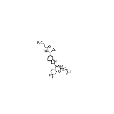 O=C(CCC(F)(F)F)NC(c1cnn2cc([C@@H](NC(=O)[C@H]3C[C@H]3C(F)F)C3CCC(F)(F)CC3)nc2c1)C1CC1